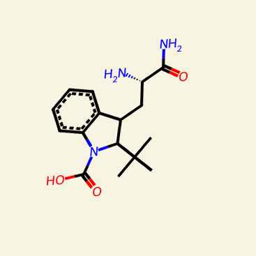 CC(C)(C)C1C(C[C@H](N)C(N)=O)c2ccccc2N1C(=O)O